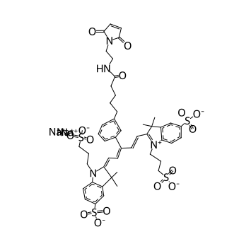 CC1(C)C(/C=C/C(=C/C=C2/N(CCCS(=O)(=O)[O-])c3ccc(S(=O)(=O)[O-])cc3C2(C)C)c2cccc(CCCCC(=O)NCCN3C(=O)C=CC3=O)c2)=[N+](CCCS(=O)(=O)[O-])c2ccc(S(=O)(=O)[O-])cc21.[Na+].[Na+].[Na+]